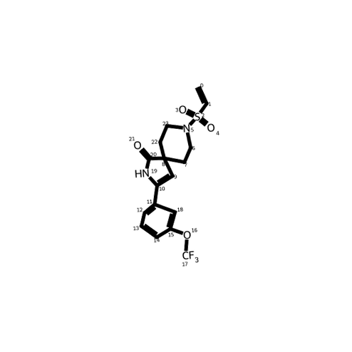 C=CS(=O)(=O)N1CCC2(C=C(c3cccc(OC(F)(F)F)c3)NC2=O)CC1